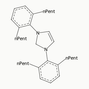 CCCCCc1cccc(CCCCC)c1N1C=CN(c2c(CCCCC)cccc2CCCCC)C1